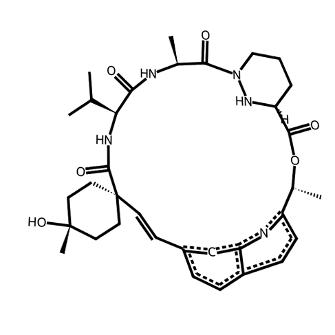 CC(C)[C@@H]1NC(=O)[C@]2(/C=C/c3ccc4ccc(nc4c3)[C@@H](C)OC(=O)[C@@H]3CCCN(N3)C(=O)[C@H](C)NC1=O)CC[C@@](C)(O)CC2